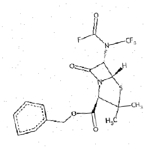 CC1(C)S[C@H]2[C@@H](N(C(=O)F)C(F)(F)F)C(=O)N2[C@@H]1C(=O)OCc1ccccc1